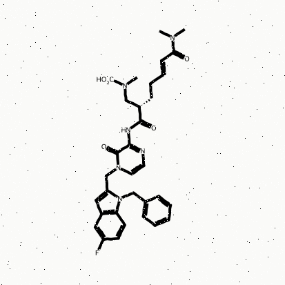 CN(C)C(=O)/C=C/CC[C@@H](CN(C)C(=O)O)C(=O)Nc1nccn(Cc2cc3cc(F)ccc3n2Cc2ccccc2)c1=O